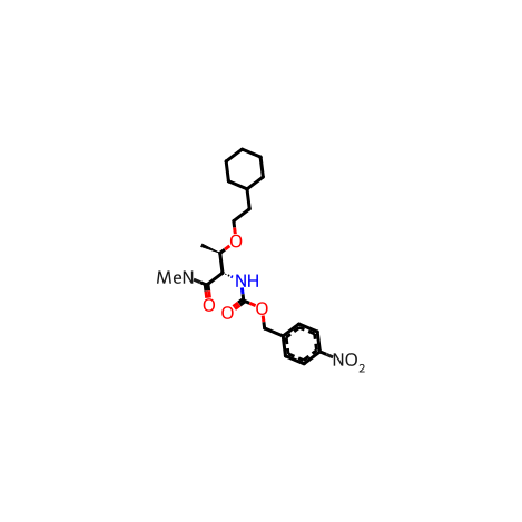 CNC(=O)[C@@H](NC(=O)OCc1ccc([N+](=O)[O-])cc1)[C@@H](C)OCCC1CCCCC1